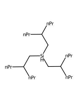 CCCC(CCC)C[SiH](CC(CCC)CCC)CC(CCC)CCC